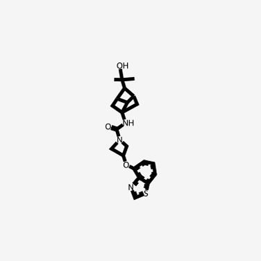 CC(C)(O)C1C2CC3(NC(=O)N4CC(Oc5cccc6scnc56)C4)CC1C23